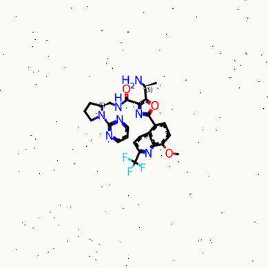 COc1ccc(-c2nc(C(=O)NC[C@@H]3CCCN3c3ncccn3)c([C@H](C)N)o2)c2ccc(C(F)(F)F)nc12